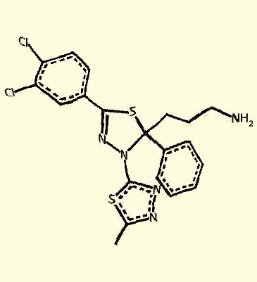 Cc1nnc(N2N=C(c3ccc(Cl)c(Cl)c3)SC2(CCCN)c2ccccc2)s1